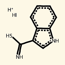 I.N=C(S)c1c[nH]c2ccccc12.[H+]